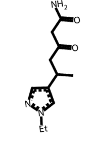 CCn1cc(C(C)CC(=O)CC(N)=O)cn1